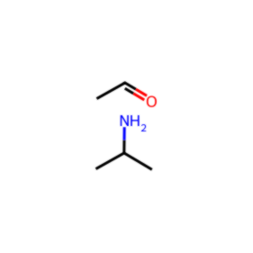 CC(C)N.CC=O